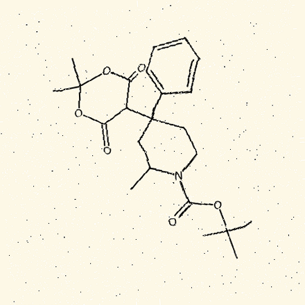 CC1CC(c2ccccc2)(C2C(=O)OC(C)(C)OC2=O)CCN1C(=O)OC(C)(C)C